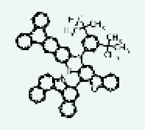 CC(C)(C)c1cc(N2c3cc4cc5c6ccccc6c6ccccc6c5cc4cc3B3c4c2cc2c(oc5ccccc52)c4-c2cc4ccccc4c4c5c6ccccc6ccc5n3c24)cc(C(C)(C)C)c1